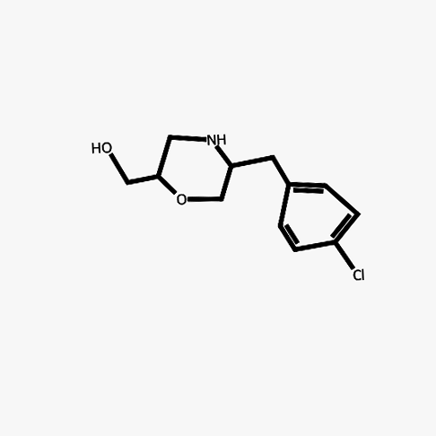 OCC1CNC(Cc2ccc(Cl)cc2)CO1